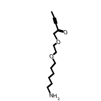 CC#CC(=O)COCCOCCCCCCN